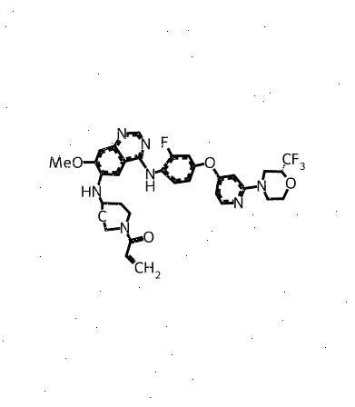 C=CC(=O)N1CCC(Nc2cc3c(Nc4ccc(Oc5ccnc(N6CCO[C@@H](C(F)(F)F)C6)c5)cc4F)ncnc3cc2OC)CC1